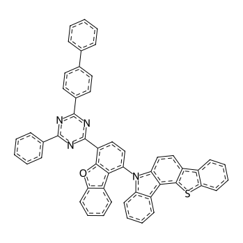 c1ccc(-c2ccc(-c3nc(-c4ccccc4)nc(-c4ccc(-n5c6ccccc6c6c7sc8ccccc8c7ccc65)c5c4oc4ccccc45)n3)cc2)cc1